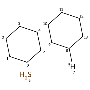 C1CCCCC1.S.[3H]C1CCCCC1